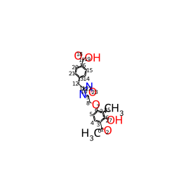 CC(=O)c1ccc(OCc2nc(Cc3ccc(C(=O)O)cc3)no2)c(C)c1O